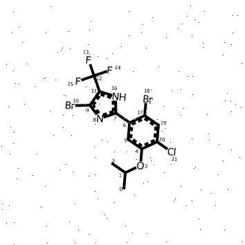 CC(C)Oc1cc(-c2nc(Br)c(C(F)(F)F)[nH]2)c(Br)cc1Cl